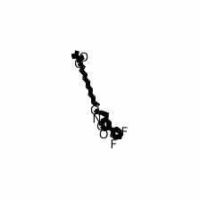 C=C(C)C(=O)OCCCCCCCCCCCOc1ccc2cc(-c3cc(F)cc(F)c3)c(=O)oc2n1